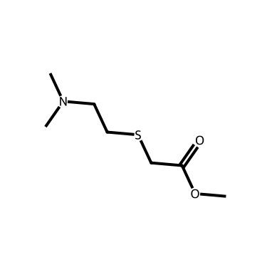 COC(=O)CSCCN(C)C